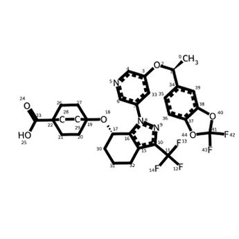 C[C@H](Oc1cncc(-n2nc(C(F)(F)F)c3c2[C@@H](OC24CCC(C(=O)O)(CC2)CC4)CCC3)c1)c1ccc2c(c1)OC(F)(F)O2